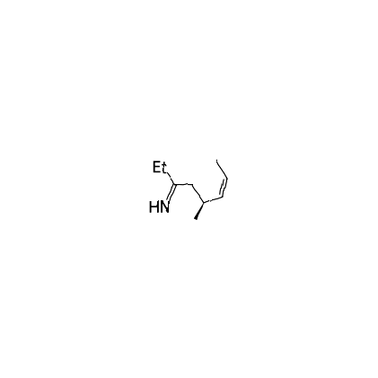 C/C=C\[C@@H](C)CC(=N)CC